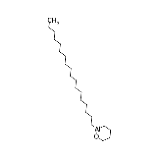 CCCCCCCCCCCCCCCCC[CH2][Al]1[CH2]CCC[O]1